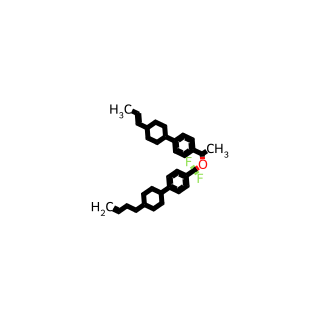 C=CCCC1CCC(c2ccc(C(F)(F)OC(C)c3ccc(C4CCC(/C=C/C)CC4)cc3)cc2)CC1